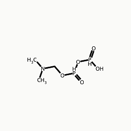 CN(C)CO[PH](=O)O[PH](=O)O